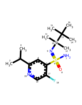 CC(C)c1cc(S(N)(=O)=N[Si](C)(C)C(C)(C)C)c(F)cn1